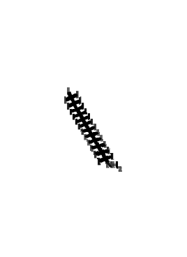 NC(I)(I)C(I)(I)C(I)(I)C(I)(I)C(I)(I)C(I)(I)C(I)(I)C(I)(I)C(I)(I)C(I)(I)C(I)(I)C(I)(I)I